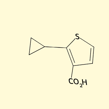 O=C(O)c1ccsc1C1CC1